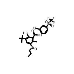 CCC[S+]([O-])c1cc(C(C)(C)C)c(O)c(C(=O)Nc2ccc(S(=O)(=O)C(F)(F)F)cc2Cl)c1C